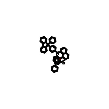 c1ccc(-c2ccc(N(c3ccc(C4(c5ccccc5)c5ccccc5-c5ccccc54)cc3)c3cccc4ccc5sc6ccccc6c5c34)cc2)cc1